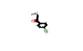 CC(C)(C)CC(=O)c1ccc(Br)cc1